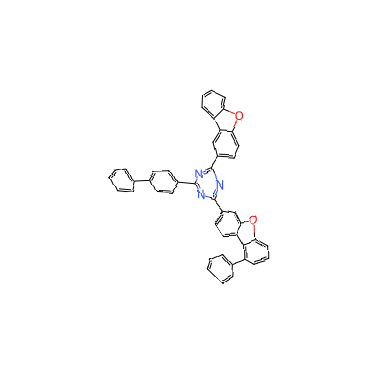 c1ccc(-c2ccc(-c3nc(-c4ccc5c(c4)oc4cccc(-c6ccccc6)c45)nc(-c4ccc5oc6ccccc6c5c4)n3)cc2)cc1